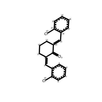 O=C1/C(=C\c2ccccc2Cl)CCC/C1=C\c1ccccc1Cl